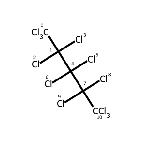 ClC(Cl)(Cl)C(Cl)(Cl)C(Cl)(Cl)C(Cl)(Cl)C(Cl)(Cl)Cl